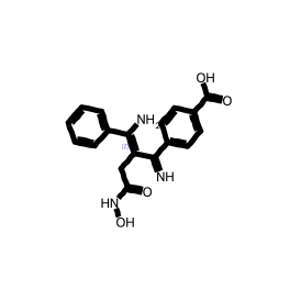 N=C(/C(CC(=O)NO)=C(\N)c1ccccc1)c1ccc(C(=O)O)cc1